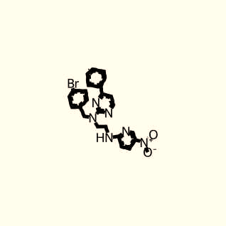 O=[N+]([O-])c1ccc(NCCN(Cc2ccc(Br)cc2)c2nccc(-c3cc[c]cc3)n2)nc1